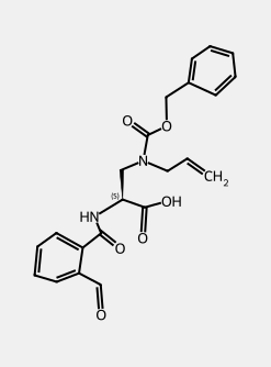 C=CCN(C[C@H](NC(=O)c1ccccc1C=O)C(=O)O)C(=O)OCc1ccccc1